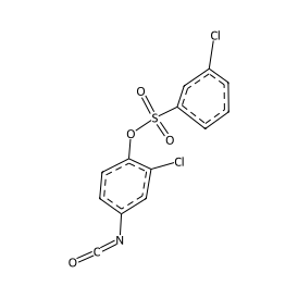 O=C=Nc1ccc(OS(=O)(=O)c2cccc(Cl)c2)c(Cl)c1